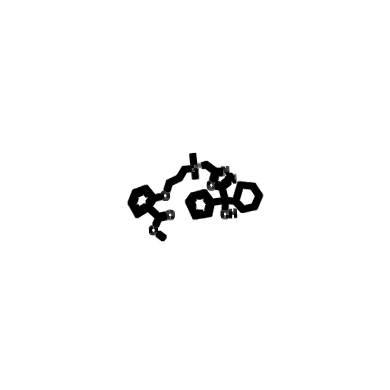 COC(=O)c1ccccc1OCCC[N+](C)(C)Cc1nnc(C(O)(c2ccccc2)C2CCCCC2)o1